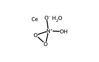 O.[Ce].[O-][N+]1(O)OO1